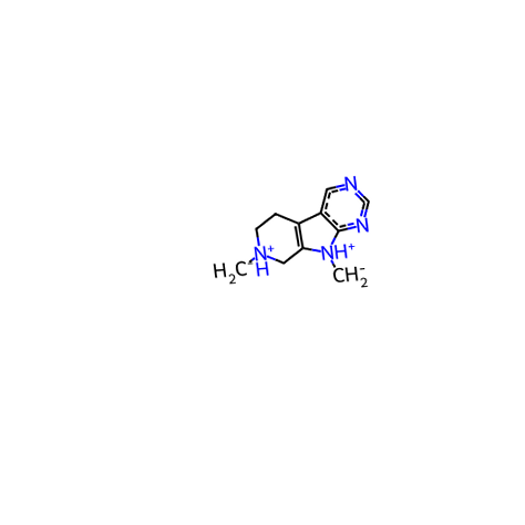 [CH2-][NH+]1CCC2=C(C1)[NH+]([CH2-])c1ncncc12